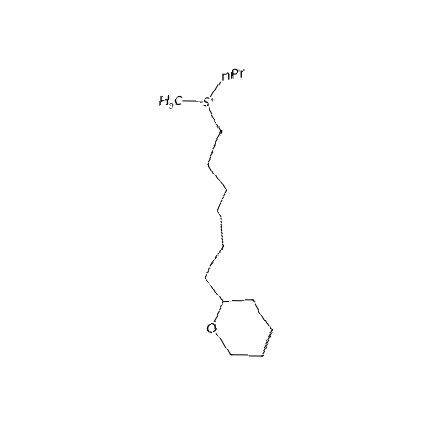 CCC[S+](C)CCCCCCC1CCCCO1